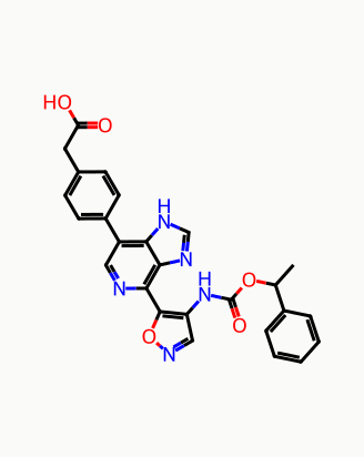 CC(OC(=O)Nc1cnoc1-c1ncc(-c2ccc(CC(=O)O)cc2)c2[nH]cnc12)c1ccccc1